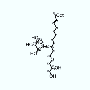 CCCCCCCCC=CCCCCCCCCOCC(O)CO.OB(O)O.OCC(O)CO